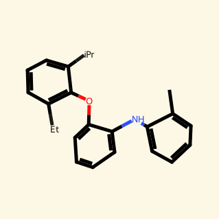 CCc1cccc(C(C)C)c1Oc1ccccc1Nc1ccccc1C